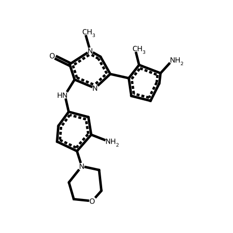 Cc1c(N)cccc1-c1cn(C)c(=O)c(Nc2ccc(N3CCOCC3)c(N)c2)n1